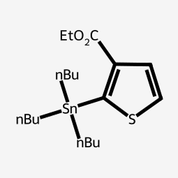 CCC[CH2][Sn]([CH2]CCC)([CH2]CCC)[c]1sccc1C(=O)OCC